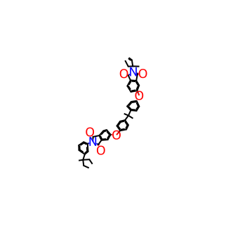 C=CC(C)(CC)N1C(=O)c2ccc(Oc3ccc(C(C)(C)c4ccc(Oc5ccc6c(c5)C(=O)N(c5cccc(C(C)(CC)CC)c5)C6=O)cc4)cc3)cc2C1=O